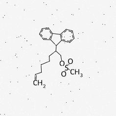 C=CCCCCC(COS(C)(=O)=O)C1c2ccccc2-c2ccccc21